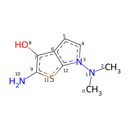 CN(C)n1ccc2c(O)c(N)sc21